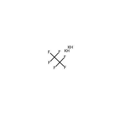 FC(F)(F)C(F)(F)F.[KH].[KH]